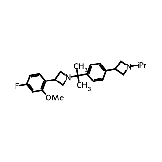 COc1cc(F)ccc1C1CN(C(C)(C)c2ccc(C3CN(C(C)C)C3)cc2)C1